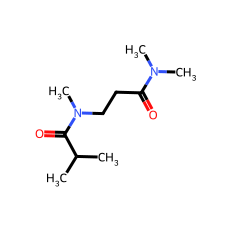 CC(C)C(=O)N(C)CCC(=O)N(C)C